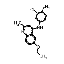 CCOc1ccc2nc(C)cc(Nc3ccc(C)c(Cl)c3)c2c1